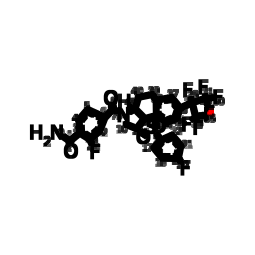 NC(=O)c1ccc(C(=O)N2CC[C@]3(S(=O)(=O)c4ccc(F)cc4)c4ccc(C(F)(C(F)(F)F)C(F)(F)F)cc4CC[C@H]23)cc1F